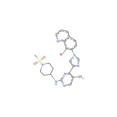 CS(=O)(=O)N1CCC(Nc2ncc(C(F)(F)F)c(-c3cn(-c4ccc5cccnc5c4Br)cn3)n2)CC1